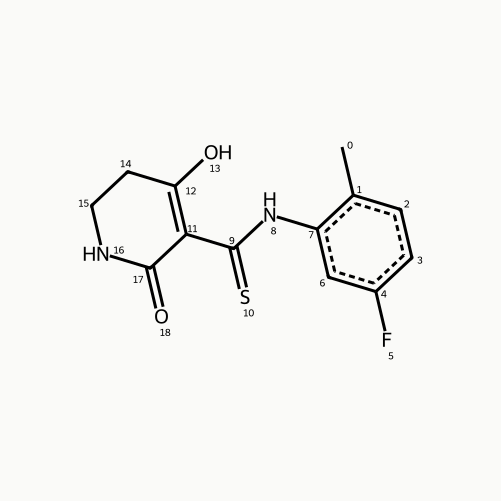 Cc1ccc(F)cc1NC(=S)C1=C(O)CCNC1=O